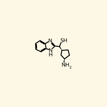 N[C@@H]1CC[C@H](C(S)c2nc3ccccc3[nH]2)C1